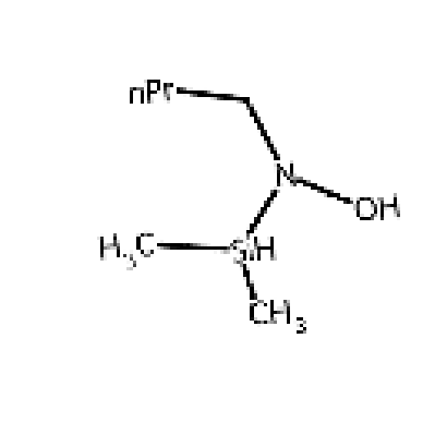 CCCCN(O)[SiH](C)C